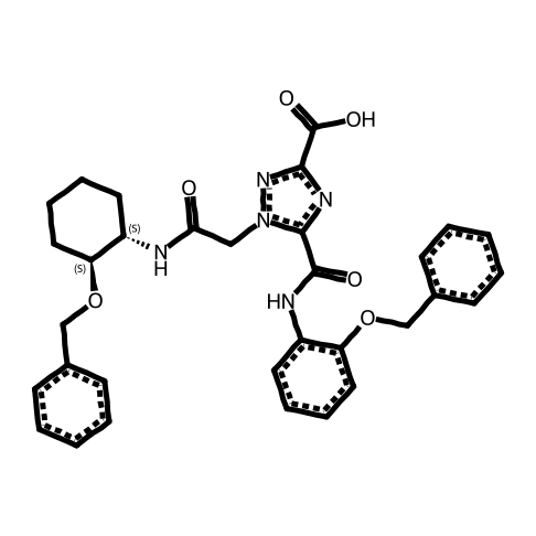 O=C(Cn1nc(C(=O)O)nc1C(=O)Nc1ccccc1OCc1ccccc1)N[C@H]1CCCC[C@@H]1OCc1ccccc1